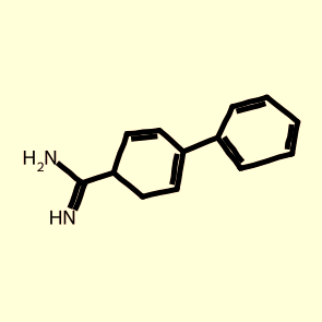 N=C(N)C1C=CC(c2ccccc2)=CC1